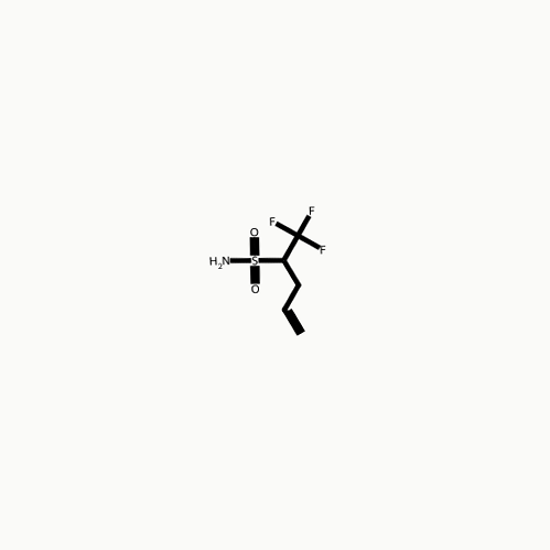 C=CCC(C(F)(F)F)S(N)(=O)=O